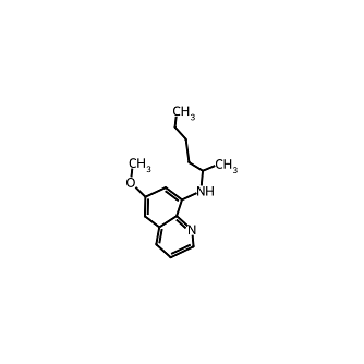 CCCCC(C)Nc1cc(OC)cc2cccnc12